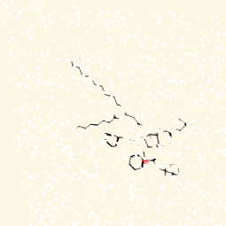 CCCCCCCCCCC[C@H](CC(=O)O[C@@H]1[C@H](NC(=O)OCC(Cl)(Cl)Cl)[C@@H](Cl)O[C@H](COC(=O)OC(C)(C)C(Cl)(Cl)Cl)[C@H]1OP(=O)(Oc1ccccc1)Oc1ccccc1)OC(=O)CCCCCCC